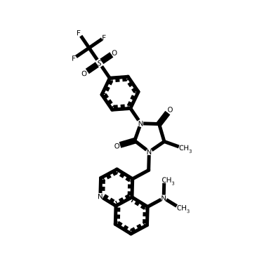 CC1C(=O)N(c2ccc(S(=O)(=O)C(F)(F)F)cc2)C(=O)N1Cc1ccnc2cccc(N(C)C)c12